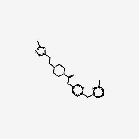 Cc1cccc(Cc2ccc(OC(=O)N3CCN(CCc4csc(C)n4)CC3)cc2)n1